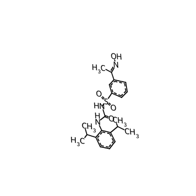 C/C(=N\O)c1cccc(S(=O)(=O)NC(=O)Nc2c(C(C)C)cccc2C(C)C)c1